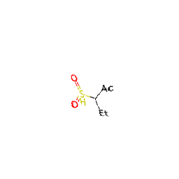 CCC(C(C)=O)[SH](=O)=O